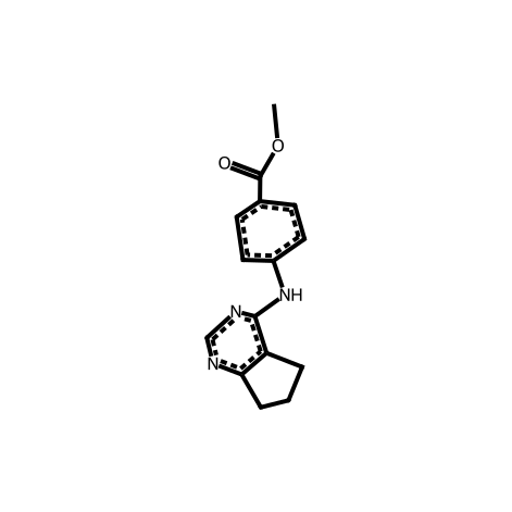 COC(=O)c1ccc(Nc2ncnc3c2CCC3)cc1